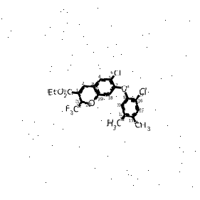 CCOC(=O)C1=Cc2cc(Cl)c(Oc3cc(C)c(C)cc3Cl)cc2OC1C(F)(F)F